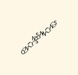 c1cc(N2CCSCC2)ccc1N=Nc1cc2sc(-c3ccc(N4CCOCC4)cc3)nc2s1